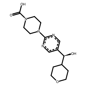 O=C(O)N1CCN(c2ncc([C@@H](O)C3CCOCC3)cn2)CC1